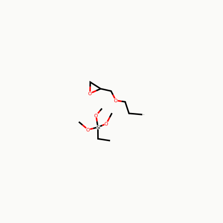 CC[Si](OC)(OC)OC.[CH2]CCOCC1CO1